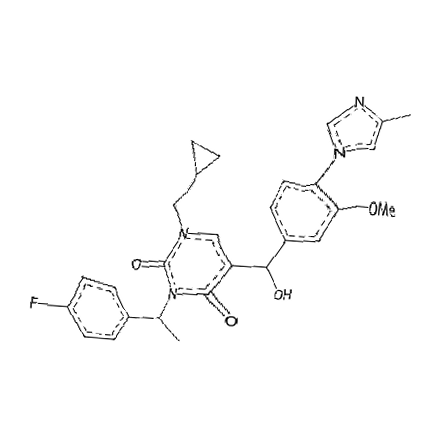 COc1cc(C(O)c2cn(CC3CC3)c(=O)n(C(C)c3ccc(F)cc3)c2=O)ccc1-n1cnc(C)c1